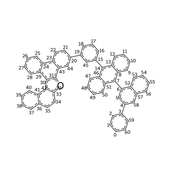 c1ccc(-c2cc(-c3c4ccccc4c(-c4cccc(-c5ccc6c7ccccc7c7c(oc8ccc9ccccc9c87)c6c5)c4)c4ccccc34)c3ccccc3c2)cc1